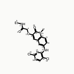 CCNC(=O)COc1cc2cc(Nc3nc(Cl)ncc3Cl)ccc2n(C)c1=O